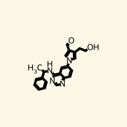 CC(Nc1ncnc2ccc(-n3cc(C=O)c(CCO)c3)cc12)c1ccccc1